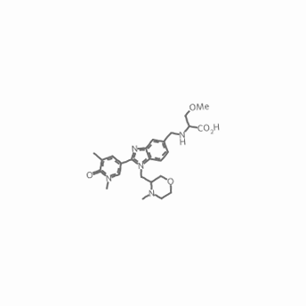 COCC(NCc1ccc2c(c1)nc(-c1cc(C)c(=O)n(C)c1)n2CC1COCCN1C)C(=O)O